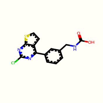 O=C(O)NCc1cccc(-c2nc(Cl)nc3sccc23)c1